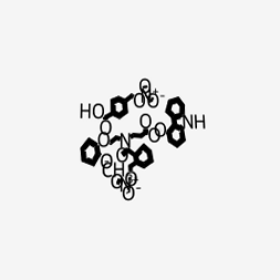 COc1ccccc1OCCN(CCC(=O)OOc1cccc2[nH]c3ccccc3c12)C(=O)c1ccccc1CO[N+](=O)[O-].O=C(O)c1ccc(CO[N+](=O)[O-])cc1